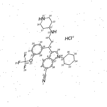 Cl.N#Cc1ccc2c(C(CCNC3CCNCC3)c3cccc(OC(F)(F)F)c3)cn(C3CCCCC3)c2c1